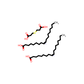 CCCCCCCC/C=C\CCCCCCCC(=O)O.CCCCCCCC/C=C\CCCCCCCC(=O)O.O=C(O)CCSCCC(=O)O